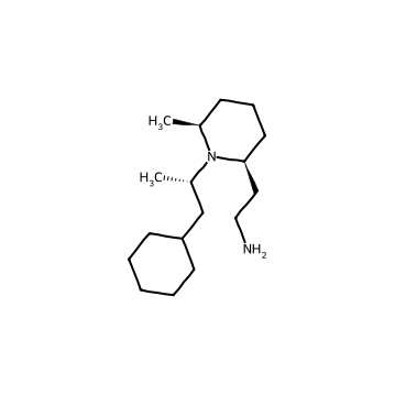 C[C@H]1CCC[C@@H](CCN)N1[C@@H](C)CC1CCCCC1